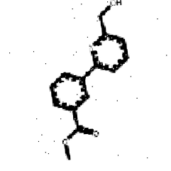 COC(=O)c1cccc(-c2cccc(CO)n2)c1